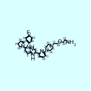 N=C(/C=C\C1=NCC(c2cccc(N3CCN(CCOCCN)CC3)n2)N1)N1CCC[C@@H]1c1cccc(F)c1